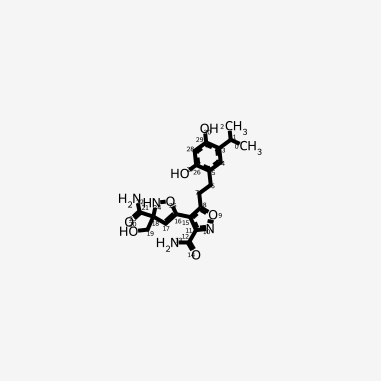 CC(C)c1cc(CCc2onc(C(N)=O)c2C2=CC(CO)(C(N)=O)NO2)c(O)cc1O